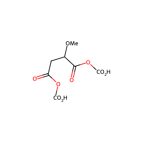 COC(CC(=O)OC(=O)O)C(=O)OC(=O)O